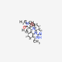 CC(Nc1ncc2ccc(=O)n(CC(C)(C)C(=O)N(C)C)c2n1)c1ccccc1